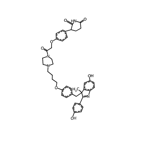 CC1(Cc2ccc(OCCCCN3CCN(C(=O)COc4ccc(C5CCC(=O)NC5=O)cc4)CC3)cc2)C(c2ccc(O)cc2)=Nc2ccc(O)cc21